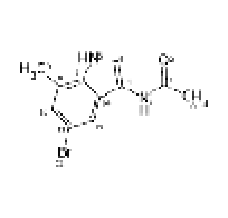 CC(=O)Nc1c[nH]c2c(C)cc(Br)cc12